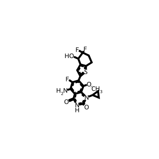 COc1c(-c2cc3c(s2)CCC(F)(F)C3O)c(F)c(N)c2c(=O)[nH]c(=O)n(C3CC3)c12